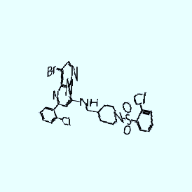 O=S(=O)(c1ccccc1Cl)N1CCC(CNc2cc(-c3ccccc3Cl)nc3c(Br)cnn23)CC1